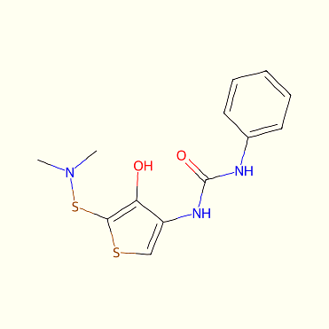 CN(C)Sc1scc(NC(=O)Nc2ccccc2)c1O